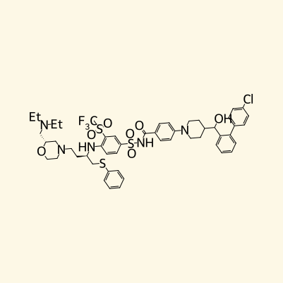 CCN(CC)C[C@@H]1CN(CC[C@H](CSc2ccccc2)Nc2ccc(S(=O)(=O)NC(=O)c3ccc(N4CCC(C(O)c5ccccc5-c5ccc(Cl)cc5)CC4)cc3)cc2S(=O)(=O)C(F)(F)F)CCO1